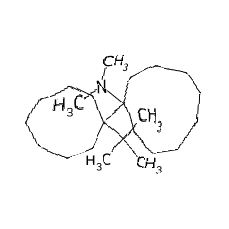 CN(C)C1(C2(C(C)(C)C)CCCCCCC2)CCCCCCCC1